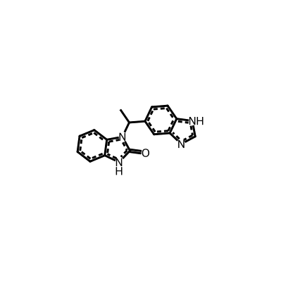 CC(c1ccc2[nH]cnc2c1)n1c(=O)[nH]c2ccccc21